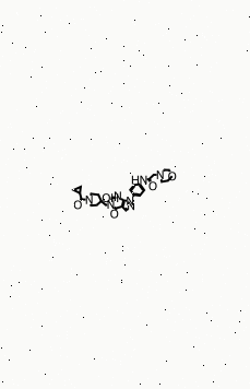 O=C(CN1CCOCC1)Nc1ccc(-n2ncc3c(=O)n(CC4(O)CCN(C(=O)C5CC5)CC4)cnc32)cc1